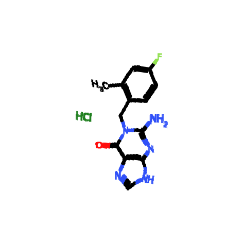 Cc1cc(F)ccc1Cn1c(N)nc2[nH]cnc2c1=O.Cl